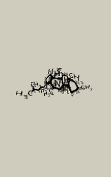 C=C(C)CCC[C@H]1CC[C@@H]2[C@]1(C)[C@@H](C)C[C@@H]1[C@H]3CC[C@@H](C)C[C@@]3(C)C[C@@H](C)[C@]12N